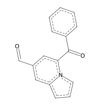 O=Cc1cc(C(=O)c2ccccc2)n2cccc2c1